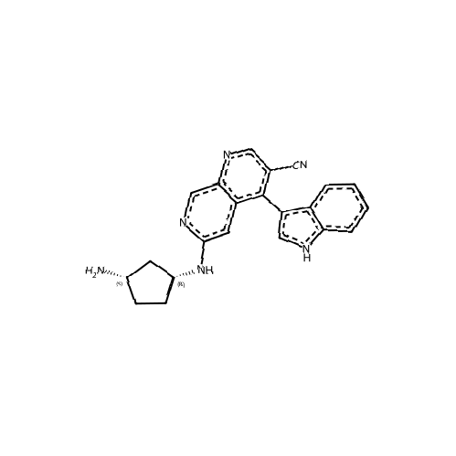 N#Cc1cnc2cnc(N[C@@H]3CC[C@H](N)C3)cc2c1-c1c[nH]c2ccccc12